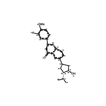 COc1ccc(-c2cc(=O)n3cc(N4C[C@@H](O)[C@H](N(C)C)C4)ccc3n2)cc1F